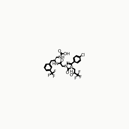 O=C(O)NC[C@H](Cc1cccc(C(F)(F)F)c1)NC(=O)Cn1nc(-c2ccc(Cl)cc2)n(C[C@H](O)C(F)(F)F)c1=O